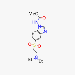 CCN(CC)CCS(=O)(=O)c1ccc2c(c1)ncn2NC(=O)OC